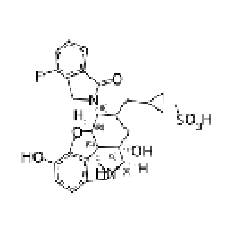 CS(=O)(=O)O.O=C1c2cccc(F)c2CN1[C@@H]1C(CC2CC2)C[C@@]2(O)[C@H]3Cc4ccc(O)c5c4[C@@]2(CCN3)[C@H]1O5